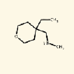 CCC1(CNC)CCOCC1